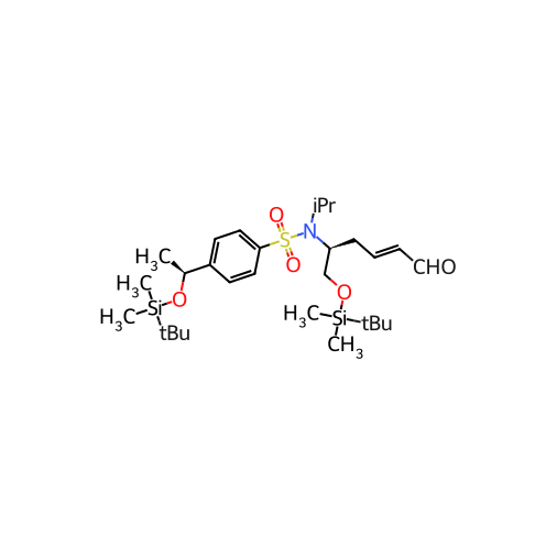 CC(C)N([C@@H](C/C=C/C=O)CO[Si](C)(C)C(C)(C)C)S(=O)(=O)c1ccc([C@H](C)O[Si](C)(C)C(C)(C)C)cc1